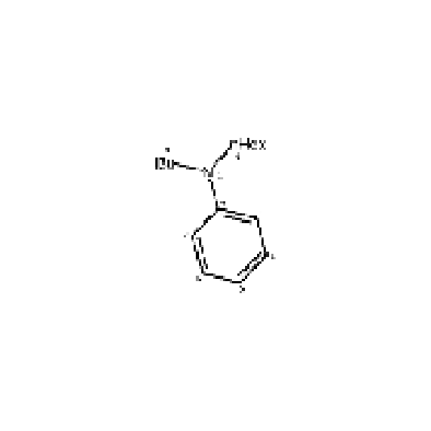 [CH2]CCCCCN(c1ccccc1)C(C)CC